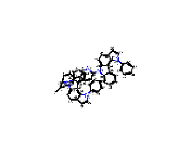 CC1C2C=C(c3ccc(-n4c5ccccc5c5c6c(ccc54)ccn6-c4ccccc4)nc3)C=CC12n1c2ccccc2c2c3c(ccc21)ccn3-c1ccccc1